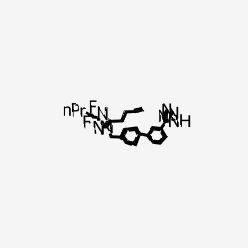 C#CCCc1nc(C(F)(F)CCC)nn1Cc1ccc(-c2cccc(-c3nnn[nH]3)c2)cc1